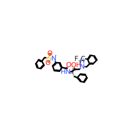 CN(c1cccc(C(=O)N[C@@H](Cc2ccccc2)[C@@H](O)CNCc2ccccc2C(F)(F)F)c1)S(=O)(=O)Cc1ccccc1